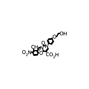 Cc1c(Cn2c(=O)c(C(=O)O)cn(-c3ccc(OCCO)cc3)c2=O)cccc1[N+](=O)[O-]